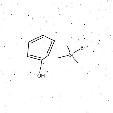 C[Si](C)(C)Br.Oc1ccccc1